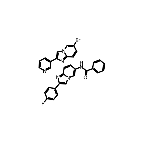 Brc1ccc2nc(-c3cccnc3)cn2c1.O=C(Nc1ccc2nc(-c3ccc(F)cc3)cn2c1)c1ccccc1